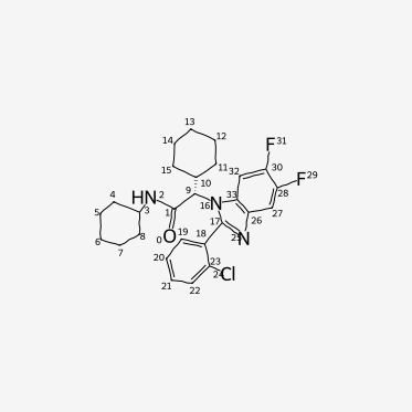 O=C(NC1CCCCC1)[C@H](C1CCCCC1)n1c(-c2ccccc2Cl)nc2cc(F)c(F)cc21